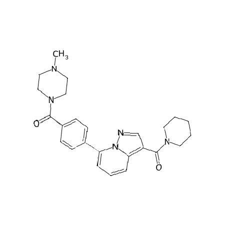 CN1CCN(C(=O)c2ccc(-c3cccc4c(C(=O)N5CCCCC5)cnn34)cc2)CC1